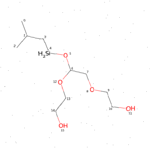 CC(C)C[SiH2]OC(COCCO)OCCO